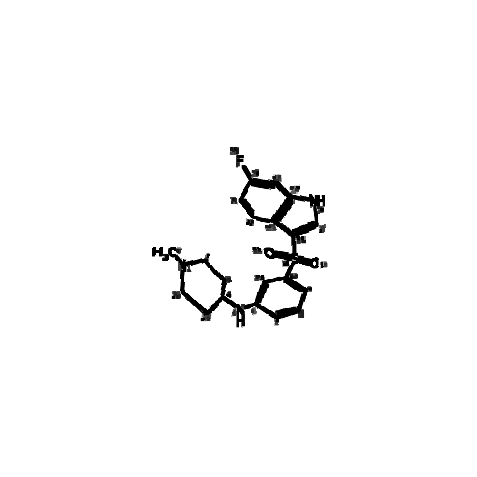 CN1CCC(Nc2cccc(S(=O)(=O)c3c[nH]c4cc(F)ccc34)c2)CC1